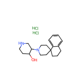 Cl.Cl.OC1CCNCC1N1CCC2(CCCc3ccccc32)CC1